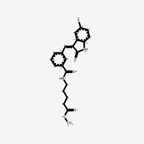 COC(=O)CCCCNC(=O)c1cccc(/C=C2\C(=O)Nc3ccc(F)cc32)c1